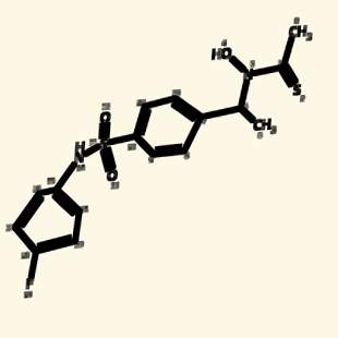 CC(=S)N(O)C(C)c1ccc(S(=O)(=O)Nc2ccc(F)cc2)cc1